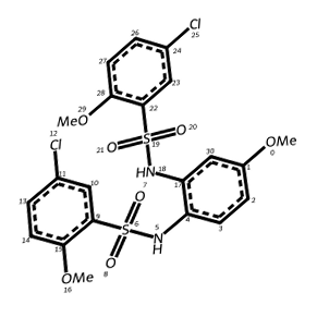 COc1ccc(NS(=O)(=O)c2cc(Cl)ccc2OC)c(NS(=O)(=O)c2cc(Cl)ccc2OC)c1